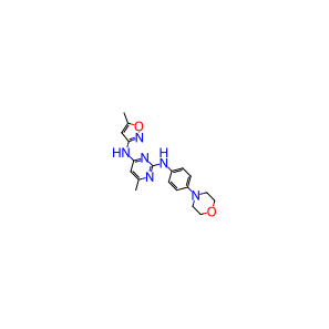 Cc1cc(Nc2cc(C)on2)nc(Nc2ccc(N3CCOCC3)cc2)n1